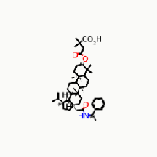 C=C(C)[C@@H]1CC[C@]2(CC(=O)N[C@H](C)c3ccccc3)CC[C@]3(C)[C@H](CCC4[C@@]5(C)CC[C@H](OC(=O)CC(C)(C)C(=O)O)C(C)(C)C5CC[C@]43C)[C@@H]12